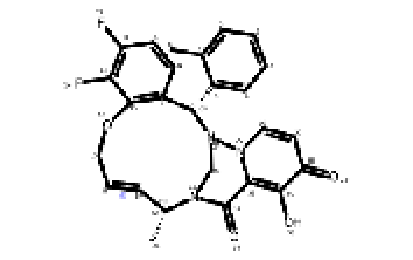 Cc1ccccc1[C@H]1c2ccc(F)c(F)c2OC/C=C/[C@@H](C)N2CN1n1ccc(=O)c(O)c1C2=O